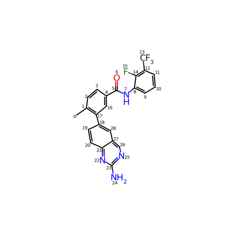 Cc1ccc(C(=O)Nc2cccc(C(F)(F)F)c2F)cc1-c1ccc2nc(N)ncc2c1